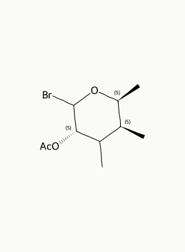 CC(=O)O[C@@H]1C(Br)O[C@@H](C)[C@@H](C)C1C